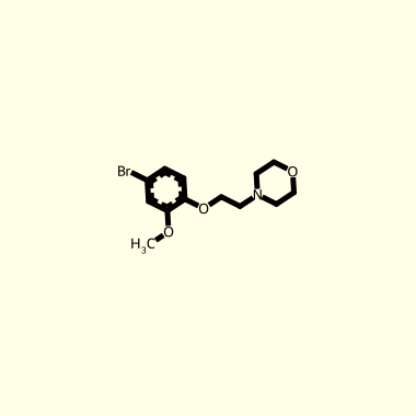 COc1cc(Br)ccc1OCCN1CCOCC1